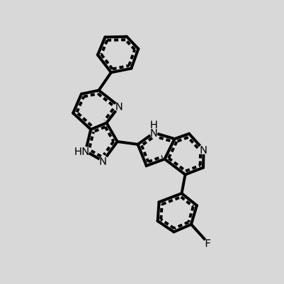 Fc1cccc(-c2cncc3[nH]c(-c4n[nH]c5ccc(-c6ccccc6)nc45)cc23)c1